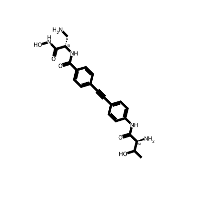 CC(O)[C@H](N)C(=O)Nc1ccc(C#Cc2ccc(C(=O)N[C@@H](CN)C(=O)NO)cc2)cc1